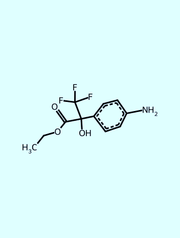 CCOC(=O)C(O)(c1ccc(N)cc1)C(F)(F)F